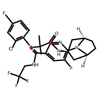 CC(C)(Oc1ccc(F)cc1Cl)C(=O)N[C@H]1C[C@H]2CC[C@@H](C1)N2c1ncc(C(=O)NCC(F)(F)F)cc1F